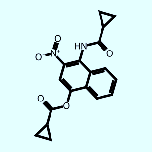 O=C(Nc1c([N+](=O)[O-])cc(OC(=O)C2CC2)c2ccccc12)C1CC1